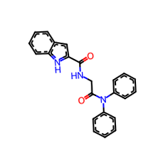 O=C(NCC(=O)N(c1ccccc1)c1ccccc1)c1cc2ccccc2[nH]1